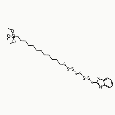 CO[Si](CCCCCCCCCCCCSSSSSSSSc1nc2ccccc2s1)(OC)OC